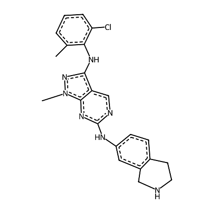 Cc1cccc(Cl)c1Nc1nn(C)c2nc(Nc3ccc4c(c3)CNCC4)ncc12